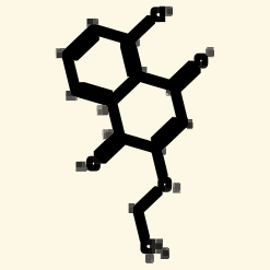 CCOC1=CC(=O)c2c(Cl)cccc2C1=O